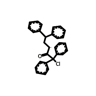 O=C([CH]CC(c1ccccc1)c1ccccc1)C(Cl)(c1ccccc1)c1ccccc1